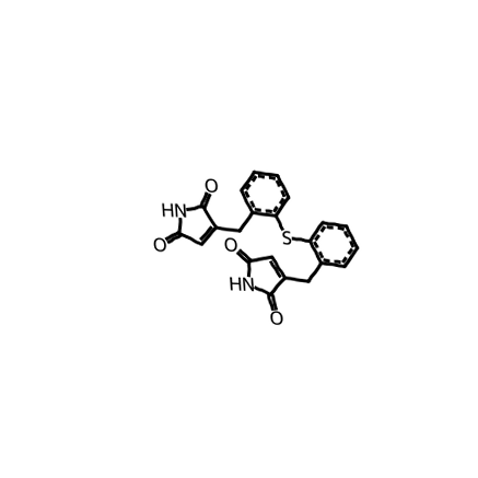 O=C1C=C(Cc2ccccc2Sc2ccccc2CC2=CC(=O)NC2=O)C(=O)N1